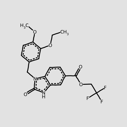 CCOc1cc(Cn2c(=O)[nH]c3cc(C(=O)OCC(F)(F)F)ccc32)ccc1OC